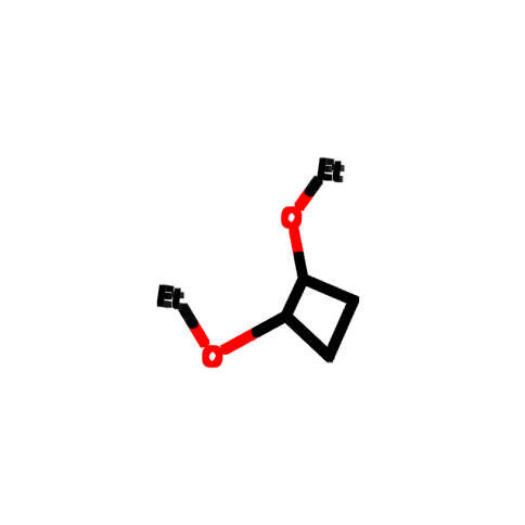 CCOC1CCC1OCC